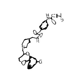 CC(=O)Nc1ccc(S(=O)(=O)NCC2CCN(CC3COc4ccc(Cl)cc4O3)CC2)cc1